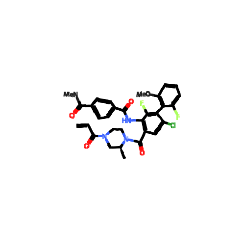 C=CC(=O)N1CCN(C(=O)c2cc(Cl)c(-c3c(F)cccc3OC)c(F)c2NC(=O)c2ccc(C(=O)NC)cc2)[C@@H](C)C1